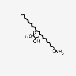 CC(O)C(=O)O.CCCCCCCCCCCCCCCCCCON